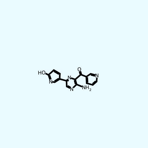 Nc1ncc(-c2ccc(O)nc2)nc1C(=O)c1cccnc1